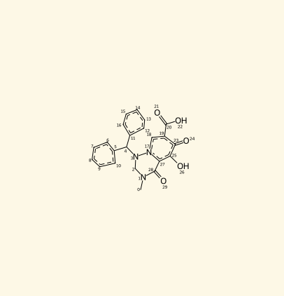 CN1CN(C(c2ccccc2)c2ccccc2)n2cc(C(=O)O)c(=O)c(O)c2C1=O